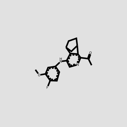 COc1cc(Nc2cnc(C(C)=O)c3c2C2CCC3C2)ccc1F